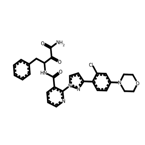 NC(=O)C(=O)C(Cc1ccccc1)NC(=O)c1cccnc1-n1ccc(-c2ccc(N3CCOCC3)cc2Cl)n1